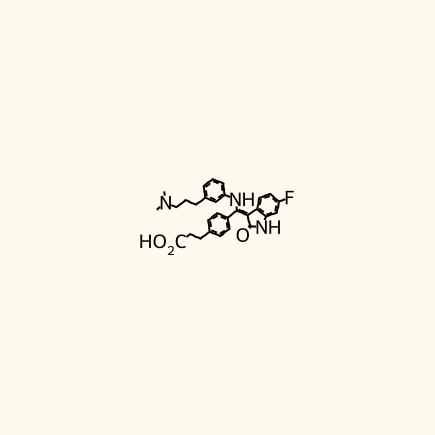 CN(C)CCCc1cccc(NC(=C2C(=O)Nc3cc(F)ccc32)c2ccc(CCC(=O)O)cc2)c1